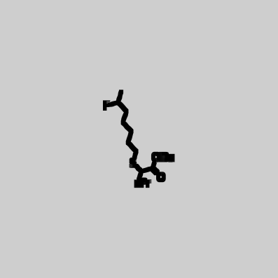 CCCC(SCCCCCC(C)F)C(=O)OCC(C)C